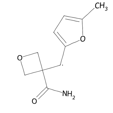 Cc1ccc([CH]C2(C(N)=O)COC2)o1